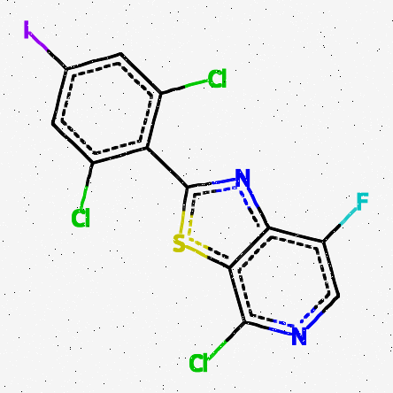 Fc1cnc(Cl)c2sc(-c3c(Cl)cc(I)cc3Cl)nc12